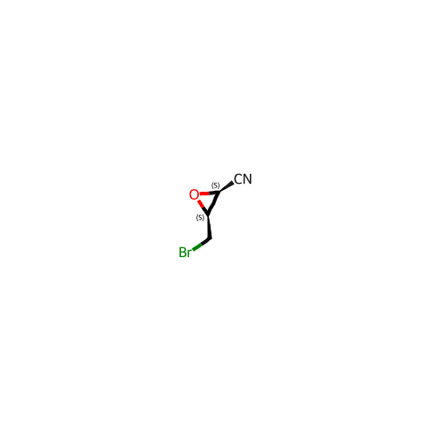 N#C[C@@H]1O[C@@H]1CBr